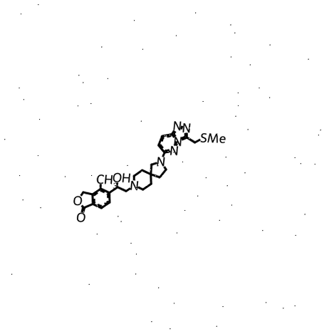 CSCc1nnc2ccc(N3CCC4(CCN(C[C@H](O)c5ccc6c(c5C)COC6=O)CC4)C3)nn12